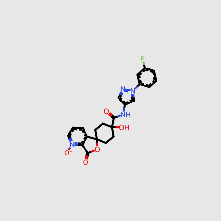 O=C1OC2(CCC(O)(C(=O)Nc3cnn(-c4cccc(F)c4)c3)CC2)c2ccc[n+]([O-])c21